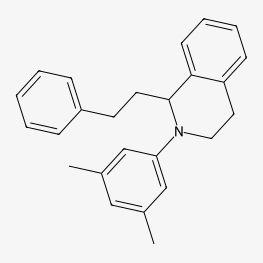 Cc1cc(C)cc(N2CCc3ccccc3C2CCc2ccccc2)c1